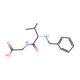 CC(C)[C@H](NCc1ccccc1)C(=O)NCC(=O)O